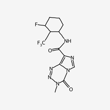 Cn1nnc2c(C(=O)NC3CCCC(F)C3C(F)(F)F)ncn2c1=O